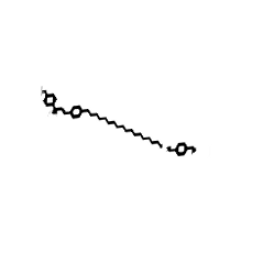 C=Cc1ccc(COCCCCCCCCCCCCCCCCCCc2ccc(C=CC(=O)c3ccc(F)cc3)cc2)cc1